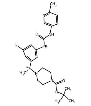 Cc1ccc(NC(=O)Nc2cc(F)cc([C@@H](C)N3CCN(C(=O)OC(C)(C)C)CC3)c2)cn1